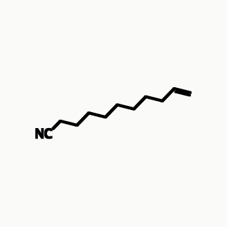 C=CCCCCCCCCC#N